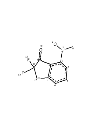 C[S+]([O-])c1cccc2c1C(=O)C(F)(F)C2